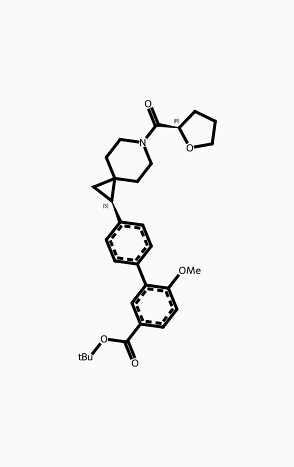 COc1ccc(C(=O)OC(C)(C)C)cc1-c1ccc([C@H]2CC23CCN(C(=O)[C@H]2CCCO2)CC3)cc1